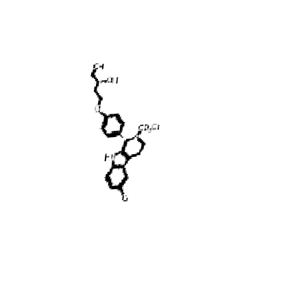 CCOC(=O)N1CCc2c([nH]c3ccc(Cl)cc23)[C@@H]1c1ccc(OCC[C@H](O)CO)cc1